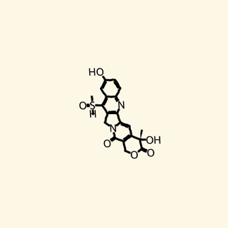 C[C@@]1(O)C(=O)OCc2c1cc1n(c2=O)Cc2c-1nc1ccc(O)cc1c2[SH](C)(C)=O